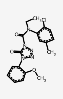 CCN(C(=O)n1nnn(-c2ccccc2OC)c1=O)c1cc(C)ccc1Cl